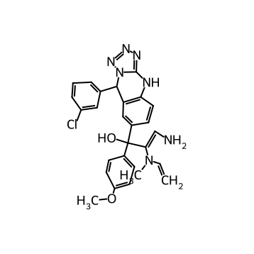 C=CN(C)/C(=C\N)C(O)(c1ccc(OC)cc1)c1ccc2c(c1)C(c1cccc(Cl)c1)n1nnnc1N2